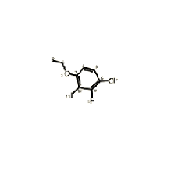 CCOc1ccc(Cl)c(F)c1I